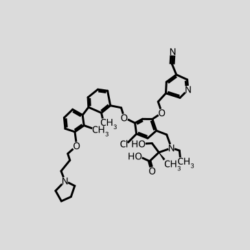 CCN(Cc1cc(Cl)c(OCc2cccc(-c3cccc(OCCCN4CCCC4)c3C)c2C)cc1OCc1cncc(C#N)c1)[C@@](C)(CO)C(=O)O